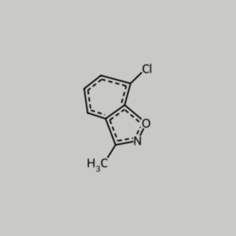 Cc1noc2c(Cl)cccc12